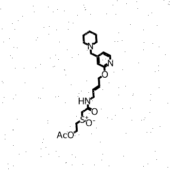 CC(=O)OCC[S+]([O-])CC(=O)NCC=CCOc1cc(CN2CCCCC2)ccn1